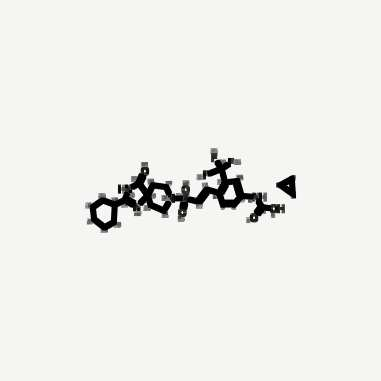 C1CC1.O=C(O)Nc1ccc(/C=C/S(=O)(=O)N2CCC3(CC2)N=C(C2CCCCC2)NC3=O)c(C(F)(F)F)c1